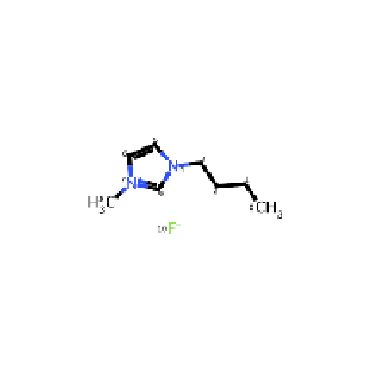 CCCCn1cc[n+](C)c1.[F-]